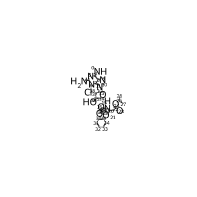 CNc1nc(N)nc2c1ncn2[C@@H]1O[C@H](CO[P@@](=O)(N[C@@H](C)C(=O)OC(C)C)Oc2ccccc2)[C@@H](O)[C@@H]1Cl